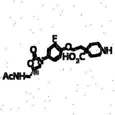 CC(=O)NC[C@H]1CN(c2ccc(OCCC3(C(=O)O)CCNCC3)c(F)c2)C(=O)O1